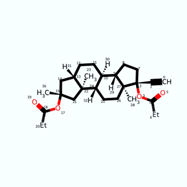 C#C[C@]1(OC(=O)CC)CC[C@H]2[C@@H]3CC[C@H]4C[C@@](C)(OC(=O)CC)C[C@]4(C)[C@H]3CC[C@@]21C